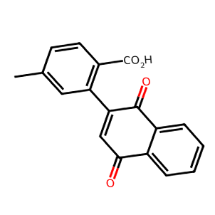 Cc1ccc(C(=O)O)c(C2=CC(=O)c3ccccc3C2=O)c1